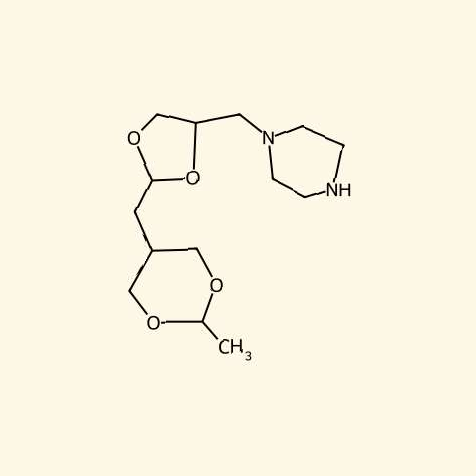 CC1OCC(CC2OCC(CN3CCNCC3)O2)CO1